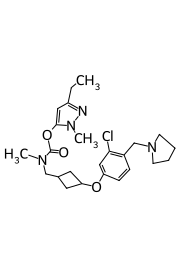 CCc1cc(OC(=O)N(C)CC2CC(Oc3ccc(CN4CCCC4)c(Cl)c3)C2)n(C)n1